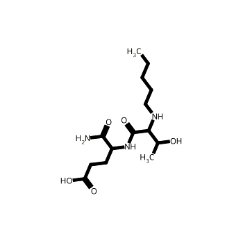 CCCCCNC(C(=O)NC(CCC(=O)O)C(N)=O)C(C)O